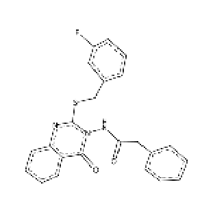 O=C(Cc1ccccc1)Nn1c(SCc2cccc(F)c2)nc2ccccc2c1=O